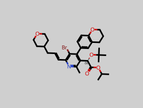 Cc1nc(C=CCC2CCOCC2)c(Br)c(-c2ccc3c(c2)CCCO3)c1[C@H](OC(C)(C)C)C(=O)OC(C)C